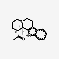 CC(=O)[C@@H]1CCCN2CCc3c([nH]c4ccccc34)[C@@H]12